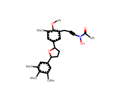 CCCOc1c(CC#CN(O)C(=O)CCC)cc(C2CCC(c3cc(OC)c(OC)c(OC)c3)O2)cc1OC